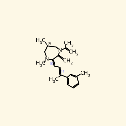 C=C(C)N1C[C@H](C)CN(C)/C(=C/C=C(\C)c2cccc(C)c2)C1=C